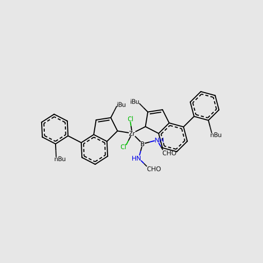 CCCCc1ccccc1-c1cccc2c1C=C(C(C)CC)[CH]2[Zr]([Cl])([Cl])([B](NC=O)NC=O)[CH]1C(C(C)CC)=Cc2c(-c3ccccc3CCCC)cccc21